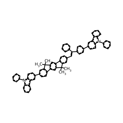 CC1(C)c2cc(/C=C(\c3ccccc3)c3ccc(-c4ccc5c(c4)c4ccccc4n5-c4ccccc4)cc3)ccc2-c2cc3c(cc21)-c1ccc(-c2ccc4c(c2)c2ccccc2n4-c2ccccc2)cc1C3(C)C